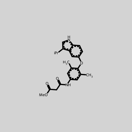 COC(=O)CC(=O)Nc1cc(C)c(Oc2ccc3[nH]cc(C(C)C)c3c2)c(C)c1